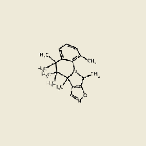 Cc1cccc2c1N1[C@@H](C)c3oncc3C1(C)C(C)(C)C2(C)C